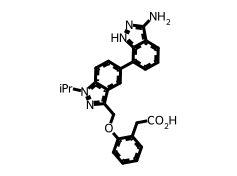 CC(C)n1nc(COc2ccccc2CC(=O)O)c2cc(-c3cccc4c(N)n[nH]c34)ccc21